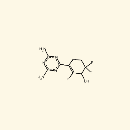 Nc1nc(N)nc(C2=C(F)C(O)C(F)(F)CC2)n1